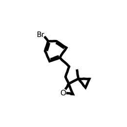 CC1(C2(CCc3ccc(Br)cc3)CO2)CC1